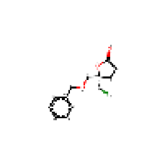 O=C1CC[C@@](CF)(COCc2ccccc2)O1